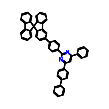 c1ccc(-c2ccc(-c3cc(-c4ccccc4)nc(-c4ccc(-c5ccc6c(c5)-c5ccccc5C65c6ccccc6-c6ccccc65)cc4)n3)cc2)cc1